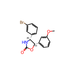 COc1cccc([C@@H]2OC(=O)N[C@@H]2c2cccc(Br)c2)c1